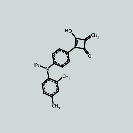 C=C1C(=O)C(c2ccc(N(c3ccc(C)cc3C)C(C)C)cc2)=C1O